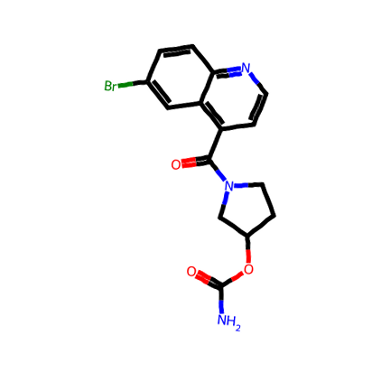 NC(=O)OC1CCN(C(=O)c2ccnc3ccc(Br)cc23)C1